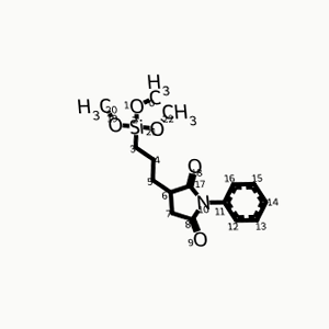 CO[Si](CCCC1CC(=O)N(c2ccccc2)C1=O)(OC)OC